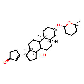 C[C@@H]1CCC[C@H](O[C@H]2CC[C@]3(C)C4CC[C@]5(C)[C@@H](C6=CC(=O)CC6)CC[C@]5(O)C4CC[C@@H]3C2)O1